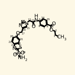 CCCOC(=O)c1ccc(NC(=O)Cn2cc(COc3ccc4nc(S(N)(=O)=O)sc4c3)nn2)cc1